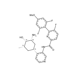 COc1cc(F)c(-c2nc(C(=O)Nc3cnccc3[C@H]3C[C@@H](N)[C@@H](O)[C@@H](C)C3)ccc2F)c(F)c1